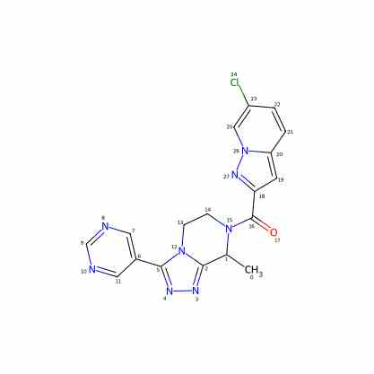 CC1c2nnc(-c3cncnc3)n2CCN1C(=O)c1cc2ccc(Cl)cn2n1